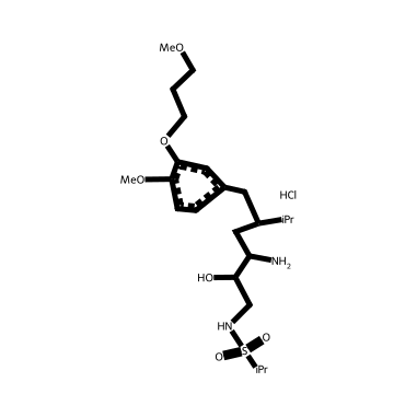 COCCCOc1cc(CC(CC(N)C(O)CNS(=O)(=O)C(C)C)C(C)C)ccc1OC.Cl